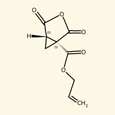 C=CCOC(=O)[C@]12C[C@@H]1C(=O)OC2=O